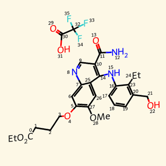 CCOC(=O)CCCOc1cc2ncc(C(N)=O)c(Nc3cccc(CO)c3CC)c2cc1OC.O=C(O)C(F)(F)F